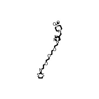 O=S1(=O)CCN(Cc2cn(CCOCCOCCOCCN=C3SCCS3)nn2)CC1